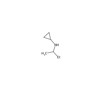 CCC(C)N[C]1CC1